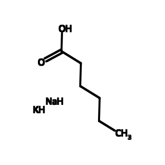 CCCCCC(=O)O.[KH].[NaH]